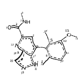 CNC(=O)c1cc(-c2c(C)ccc(OC)c2C)c2[nH]ncc2n1